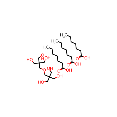 CCCCCCC(=O)O.CCCCCCC(=O)O.CCCCCCC(=O)O.OCC(CO)(CO)COCC(CO)(CO)CO